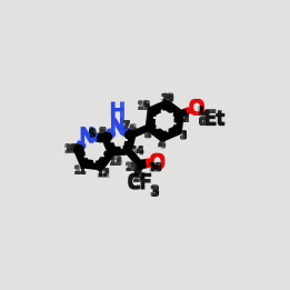 CCOc1ccc(-c2[nH]c3ncccc3c2C(=O)C(F)(F)F)cc1